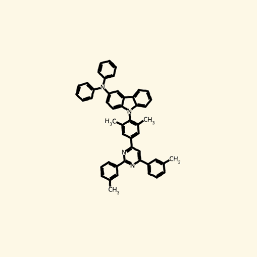 Cc1cccc(-c2cc(-c3cc(C)c(-n4c5ccccc5c5cc(N(c6ccccc6)c6ccccc6)ccc54)c(C)c3)nc(-c3cccc(C)c3)n2)c1